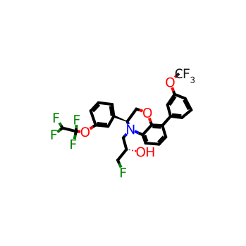 O[C@H](CF)CN1c2cccc(-c3cccc(OC(F)(F)F)c3)c2OC[C@@H]1c1cccc(OC(F)(F)C(F)F)c1